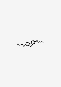 CCOc1ccc2c(ccc3cc(OCC)ccc32)c1